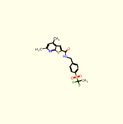 Cc1cc(C)c2cc(C(=O)NCc3ccc(S(=O)(=O)C(C)(F)F)cc3)sc2n1